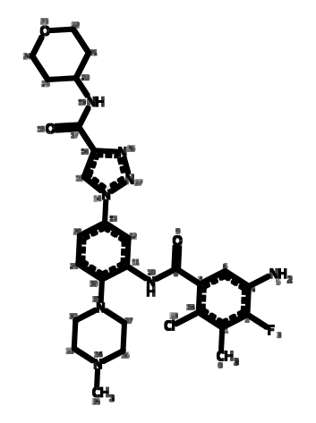 Cc1c(F)c(N)cc(C(=O)Nc2cc(-n3cc(C(=O)NC4CCOCC4)nn3)ccc2N2CCN(C)CC2)c1Cl